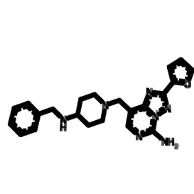 Nc1ncc(CN2CCC(NCc3ccccc3)CC2)c2nc(-c3ccco3)nn12